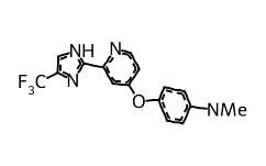 CNc1ccc(Oc2ccnc(-c3nc(C(F)(F)F)c[nH]3)c2)cc1